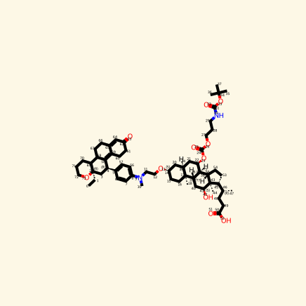 CC[C@@]12C[C@H](c3ccc(N(C)CCO[C@H]4CC[C@@]5(C)[C@@H](C4)C[C@@H](OC(=O)OCCCNC(=O)OC(C)(C)C)[C@@H]4[C@@H]5C[C@H](O)[C@]5(C)[C@@H]([C@H](C)CCC(=O)O)CC[C@@H]45)cc3)C3=C4CCC(=O)C=C4CCC3C1CCCO2